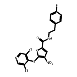 O=C(NCCc1ccc(F)cc1)c1cc([N+](=O)[O-])c(Sc2c(Cl)cncc2Cl)s1